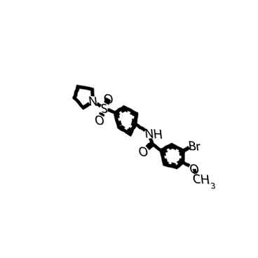 COc1ccc(C(=O)Nc2ccc(S(=O)(=O)N3CCCC3)cc2)cc1Br